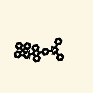 c1ccc(-c2cc(-c3ccccc3)nc(-c3ccc(-c4c5ccccc5c(-c5ncc6c(n5)C(c5ccccc5)(c5ccccc5)c5ccccc5-6)c5ccccc45)cc3)n2)cc1